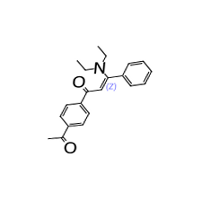 CCN(CC)/C(=C\C(=O)c1ccc(C(C)=O)cc1)c1ccccc1